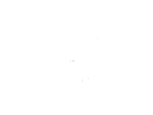 Cc1nc(C(=O)Nc2cc(-c3cccc(N(C)C)c3)cc3[nH]ncc23)cs1